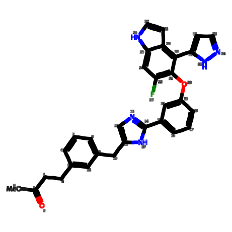 COC(=O)CCc1cccc(Cc2cnc(-c3cccc(Oc4c(F)cc5[nH]ccc5c4-c4ccn[nH]4)c3)[nH]2)c1